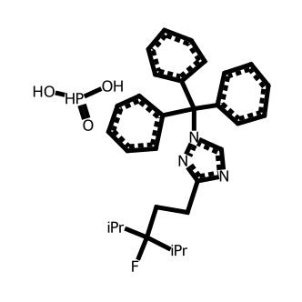 CC(C)C(F)(CCc1ncn(C(c2ccccc2)(c2ccccc2)c2ccccc2)n1)C(C)C.O=[PH](O)O